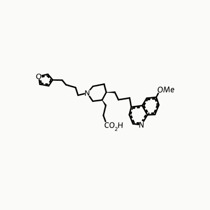 COc1ccc2nccc(CCC[C@@H]3CCN(CCCCc4ccoc4)C[C@@H]3CCC(=O)O)c2c1